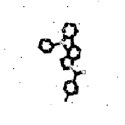 Cc1ccc(C(=O)n2ccc3c2ccc2c4ccccc4n(-c4ccccc4)c23)cc1